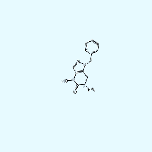 N[C@H]1Cc2c(cnn2Cc2ccccc2)N(O)C1=O